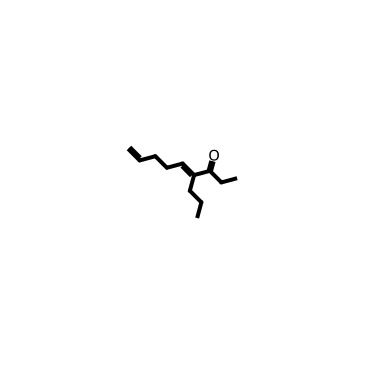 C=CCC/C=C(\CCC)C(=O)CC